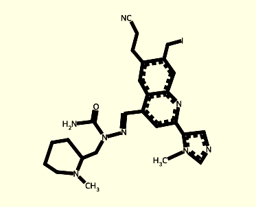 CN1CCCCC1CN(/N=C/c1cc(-c2cncn2C)nc2cc(CI)c(CCC#N)cc12)C(N)=O